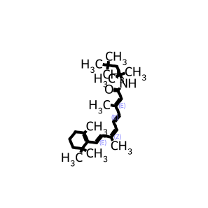 CC1=C(/C=C/C(C)=C\C=C\C(C)=C\C(=O)NC(C)(C)CC(C)(C)C)C(C)(C)CCC1